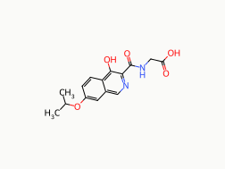 CC(C)Oc1ccc2c(O)c(C(=O)NCC(=O)O)ncc2c1